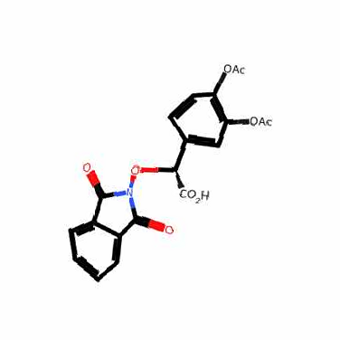 CC(=O)Oc1ccc([C@H](ON2C(=O)c3ccccc3C2=O)C(=O)O)cc1OC(C)=O